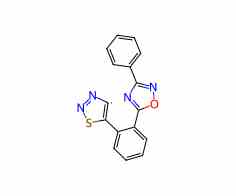 [c]1nnsc1-c1ccccc1-c1nc(-c2ccccc2)no1